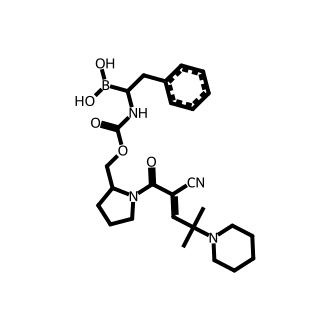 CC(C)(C=C(C#N)C(=O)N1CCCC1COC(=O)NC(Cc1ccccc1)B(O)O)N1CCCCC1